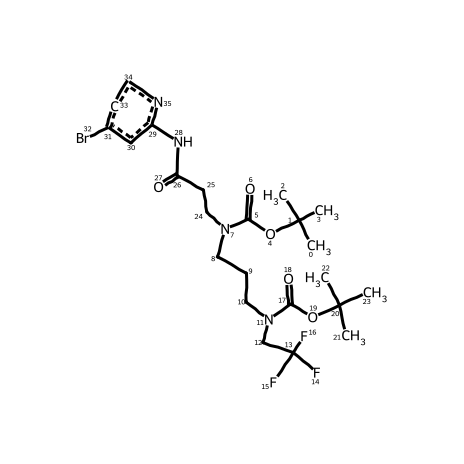 CC(C)(C)OC(=O)N(CCCN(CC(F)(F)F)C(=O)OC(C)(C)C)CCC(=O)Nc1cc(Br)ccn1